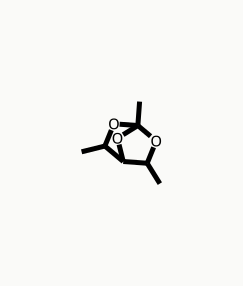 CC1OC2(C)OC(C)C1O2